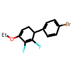 CCOC1=CCC(c2ccc(Br)cc2)C(F)=C1F